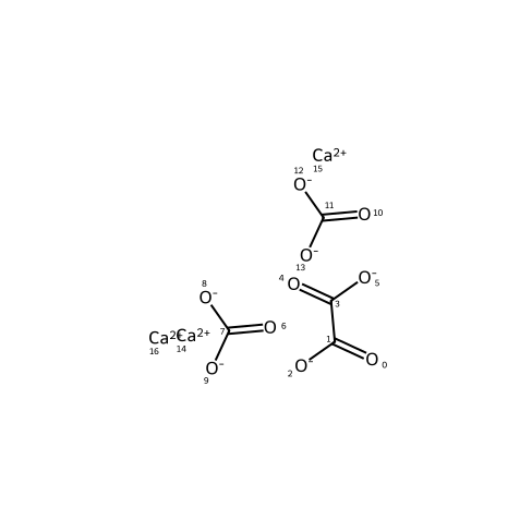 O=C([O-])C(=O)[O-].O=C([O-])[O-].O=C([O-])[O-].[Ca+2].[Ca+2].[Ca+2]